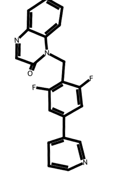 O=c1cnc2ccccc2n1Cc1c(F)cc(-c2cccnc2)cc1F